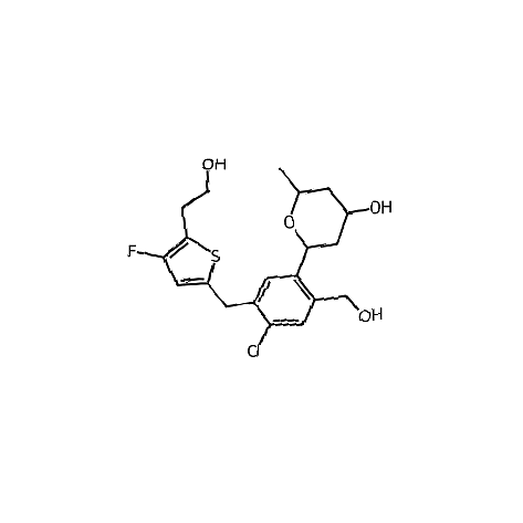 CC1CC(O)CC(c2cc(Cc3cc(F)c(CCO)s3)c(Cl)cc2CO)O1